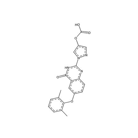 Cc1cccc(C)c1Oc1ccc2nc(-n3cc(OC(=O)O)cn3)[nH]c(=O)c2c1